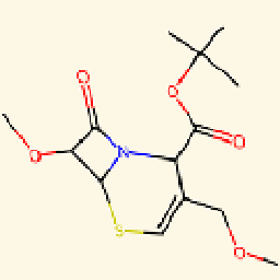 COCC1=CSC2C(OC)C(=O)N2C1C(=O)OC(C)(C)C